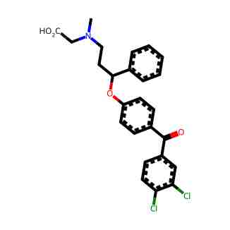 CN(CCC(Oc1ccc(C(=O)c2ccc(Cl)c(Cl)c2)cc1)c1ccccc1)CC(=O)O